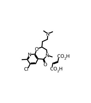 Cc1nc2c(cc1Cl)C(=O)N(C)CC(CCN(C)C)O2.O=C(O)C=CC(=O)O